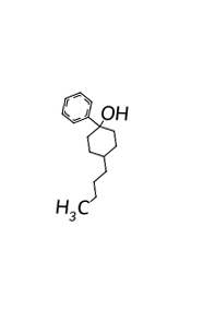 CCCCC1CCC(O)(c2ccccc2)CC1